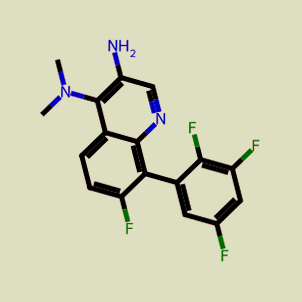 CN(C)c1c(N)cnc2c(-c3cc(F)cc(F)c3F)c(F)ccc12